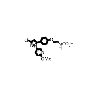 COc1ccc(-n2nc(Cl)cc2-c2ccc(OCCNC(=O)O)cc2)cn1